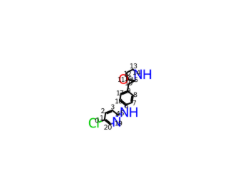 Clc1ccc(Nc2ccc(C3OC4CNC3C4)cc2)nc1